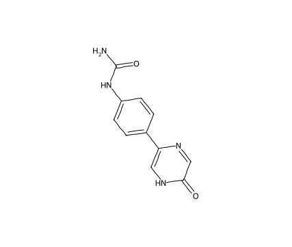 NC(=O)Nc1ccc(-c2c[nH]c(=O)cn2)cc1